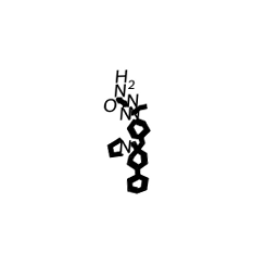 Cc1nc(C(N)=O)nn1-c1ccc(CC2(CN3CCCC3)C=CC(c3ccccc3)=CC2)cc1